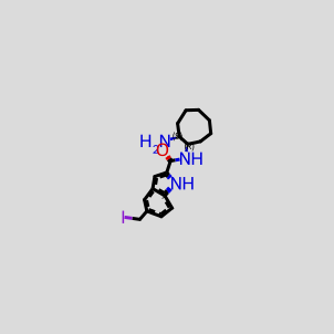 N[C@H]1CCCCCC[C@H]1NC(=O)c1cc2cc(CI)ccc2[nH]1